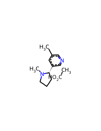 CC(=O)O.Cc1cncc([C@@H]2CCCN2C)c1